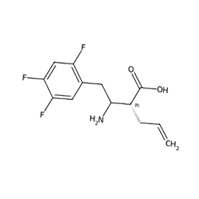 C=CC[C@@H](C(=O)O)C(N)Cc1cc(F)c(F)cc1F